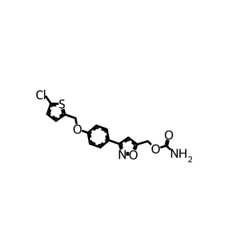 NC(=O)OCc1cc(-c2ccc(OCc3ccc(Cl)s3)cc2)no1